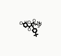 COc1ccc(C(=O)C2=C(O)C(=O)N(c3nncs3)C2c2ccc(C(C)(C)C)cc2)cc1